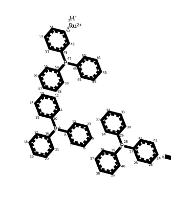 [C]=O.[H-].[H-].[Ru+2].c1ccc(P(c2ccccc2)c2ccccc2)cc1.c1ccc(P(c2ccccc2)c2ccccc2)cc1.c1ccc(P(c2ccccc2)c2ccccc2)cc1